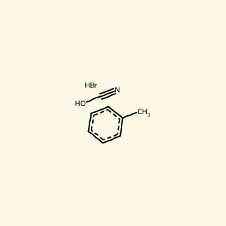 Br.Cc1ccccc1.N#CO